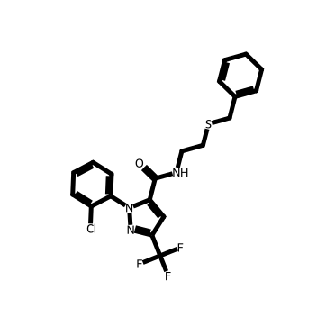 O=C(NCCSCC1=CCCC=C1)c1cc(C(F)(F)F)nn1-c1ccccc1Cl